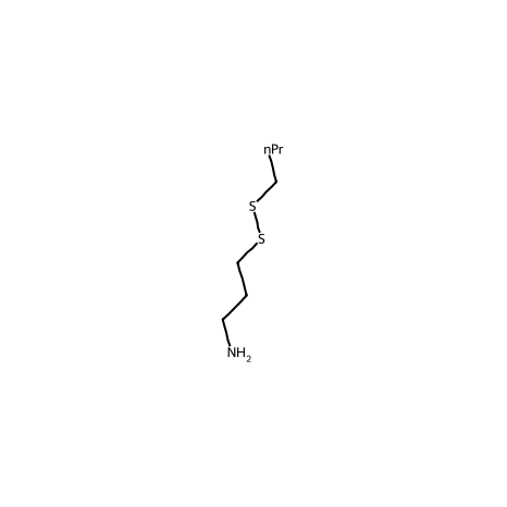 CCCCSSCCCN